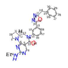 CCNc1ncc2c(n1)N1CCC[C@H]1CN(c1cccc(-c3nnc(Cc4ccccc4)o3)c1)C2=O